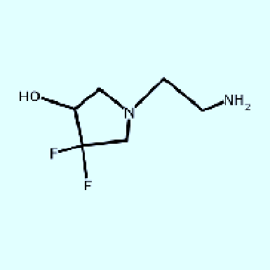 NCCN1CC(O)C(F)(F)C1